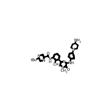 Cc1c(NC(=O)c2cnc(C(C)(C)C)cn2)cccc1-c1cn(C)c(=O)c(Nc2ccc(N3CCC(N)CC3)cc2)n1